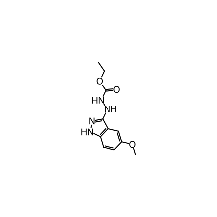 CCOC(=O)NNc1n[nH]c2ccc(OC)cc12